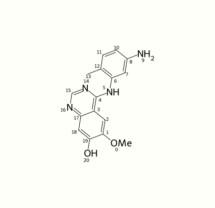 COc1cc2c(Nc3cc(N)ccc3C)ncnc2cc1O